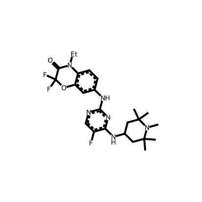 CCN1C(=O)C(F)(F)Oc2cc(Nc3ncc(F)c(NC4CC(C)(C)N(C)C(C)(C)C4)n3)ccc21